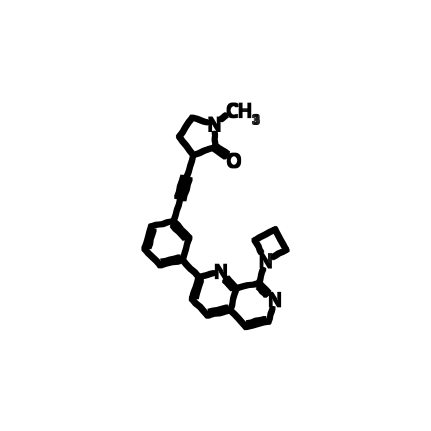 CN1CCC(C#Cc2cccc(-c3ccc4ccnc(N5CCC5)c4n3)c2)C1=O